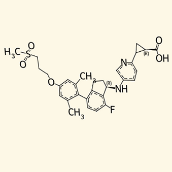 Cc1cc(OCCCS(C)(=O)=O)cc(C)c1-c1ccc(F)c2c1CC[C@H]2Nc1ccc(C2C[C@H]2C(=O)O)nc1